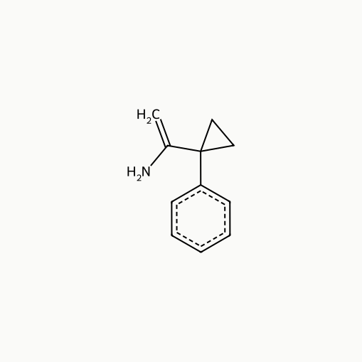 C=C(N)C1(c2ccccc2)CC1